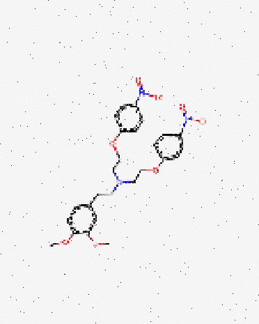 COc1ccc(CCN(CCOc2ccc([N+](=O)[O-])cc2)CCOc2ccc([N+](=O)[O-])cc2)cc1OC